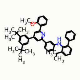 COc1ccccc1-c1cc(-c2cc(C(C)(C)C)cc(C(C)(C)C)c2)cc(-c2cccc(Nc3c(-c4ccccc4)cccc3C(C)C)c2)n1